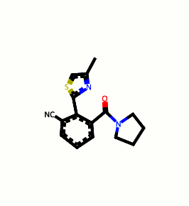 Cc1csc(-c2c(C#N)cccc2C(=O)N2CCCC2)n1